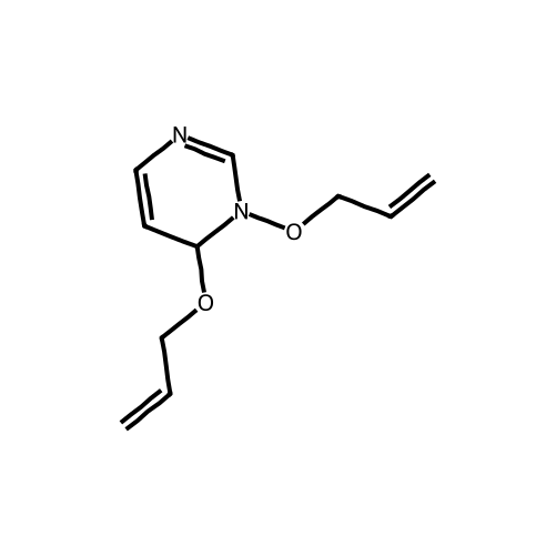 C=CCOC1C=CN=CN1OCC=C